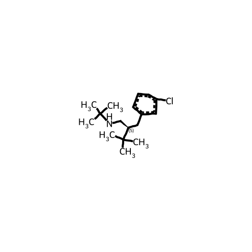 CC(C)(C)NC[C@@H](Cc1cccc(Cl)c1)C(C)(C)C